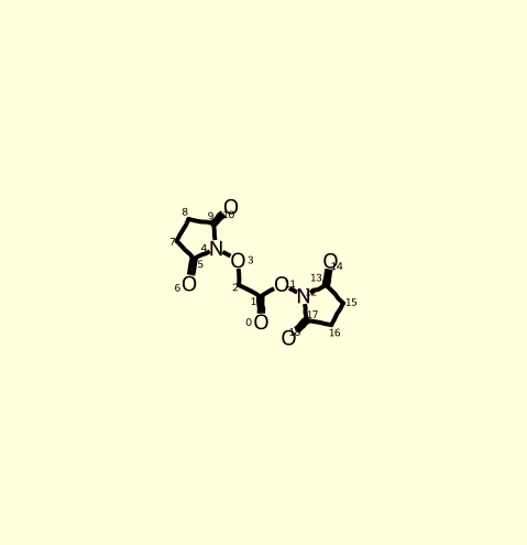 O=C(CON1C(=O)CCC1=O)ON1C(=O)CCC1=O